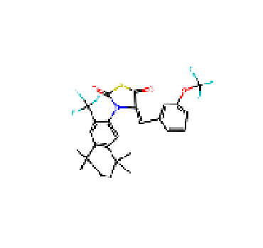 CC1(C)CCC(C)(C)c2cc(C(F)(F)F)c(N3C(=O)SC(=O)C3=Cc3cccc(OC(F)(F)F)c3)cc21